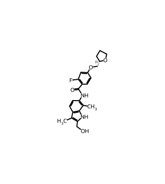 Cc1c(CO)[nH]c2c(C)c(NC(=O)c3ccc(OC[C@@H]4CCCO4)cc3F)ccc12